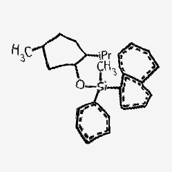 CC1CCC(C(C)C)C(O[Si](C)(c2ccccc2)c2cccc3ccccc23)C1